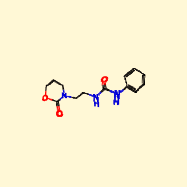 O=C(NCCN1CCCOC1=O)Nc1ccccc1